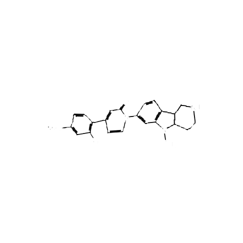 COc1ccc(-c2ccn(-c3ccc4c(c3)N(C)C3CCNCC43)c(=O)c2)c(C)c1